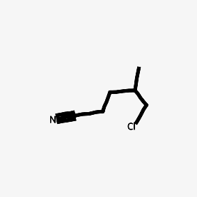 CC(CCl)CCC#N